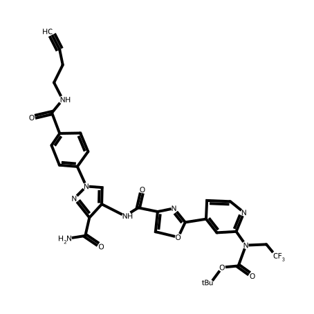 C#CCCNC(=O)c1ccc(-n2cc(NC(=O)c3coc(-c4ccnc(N(CC(F)(F)F)C(=O)OC(C)(C)C)c4)n3)c(C(N)=O)n2)cc1